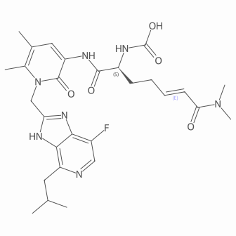 Cc1cc(NC(=O)[C@H](CC/C=C/C(=O)N(C)C)NC(=O)O)c(=O)n(Cc2nc3c(F)cnc(CC(C)C)c3[nH]2)c1C